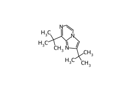 CC(C)(C)c1cn2ccnc(C(C)(C)C)c2n1